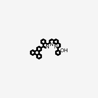 Oc1ccccc1-c1ccc2ccc3ccc(-c4ncc(-c5ccc6c7ccccc7c7ccccc7c6c5)c5ccccc45)nc3c2n1